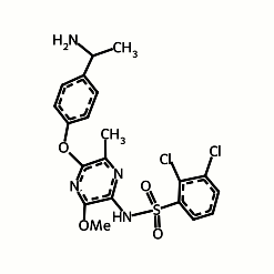 COc1nc(Oc2ccc(C(C)N)cc2)c(C)nc1NS(=O)(=O)c1cccc(Cl)c1Cl